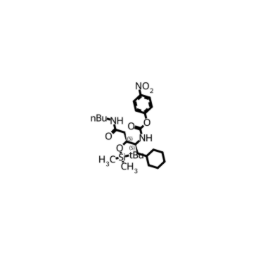 CCCCNC(=O)C[C@H](O[Si](C)(C)C(C)(C)C)[C@H](CC1CCCCC1)NC(=O)Oc1ccc([N+](=O)[O-])cc1